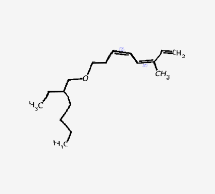 C=C/C(C)=C\C=C/CCOCC(CC)CCCC